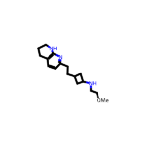 COCCNC1CC(CCc2ccc3c(n2)NCCC3)C1